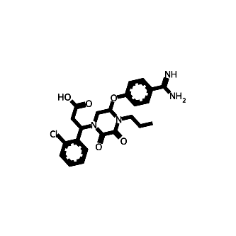 CCCN1C(=O)C(=O)N(C(CC(=O)O)c2ccccc2Cl)CC1Oc1ccc(C(=N)N)cc1